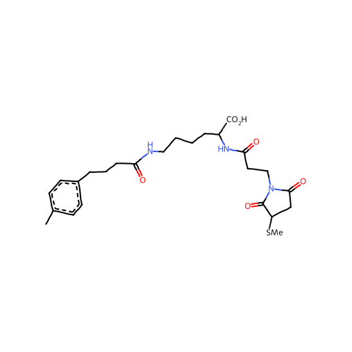 CSC1CC(=O)N(CCC(=O)NC(CCCCNC(=O)CCCc2ccc(C)cc2)C(=O)O)C1=O